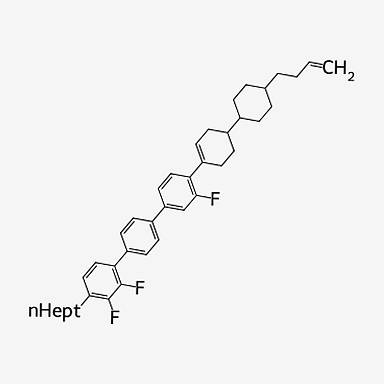 C=CCCC1CCC(C2CC=C(c3ccc(-c4ccc(-c5ccc(CCCCCCC)c(F)c5F)cc4)cc3F)CC2)CC1